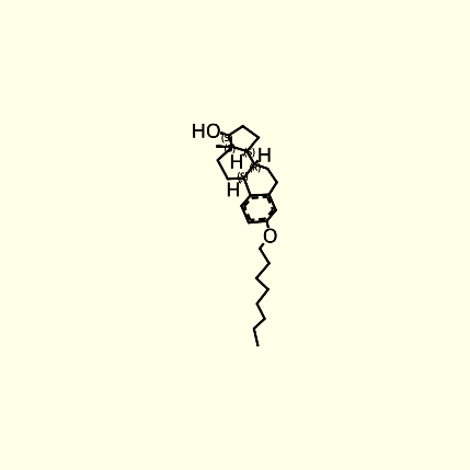 CCCCCCCCOc1ccc2c(c1)CC[C@@H]1[C@@H]2CC[C@]2(C)[C@@H](O)CC[C@@H]12